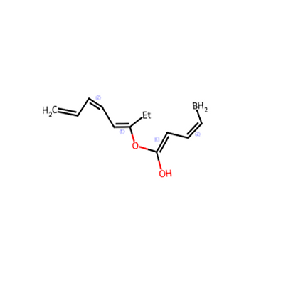 B/C=C\C=C(/O)O/C(=C/C=C\C=C)CC